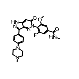 CNC(=O)c1cc(F)c(-n2nc3c(-c4ccc(N5CCN(C)CC5)cc4)n[nH]c3cc2=O)c(OC)c1